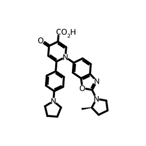 C[C@@H]1CCCN1c1nc2ccc(-n3cc(C(=O)O)c(=O)cc3-c3ccc(N4CCCC4)cc3)cc2o1